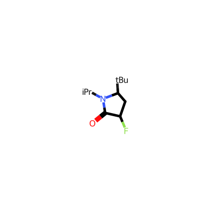 CC(C)N1C(=O)C(F)CC1C(C)(C)C